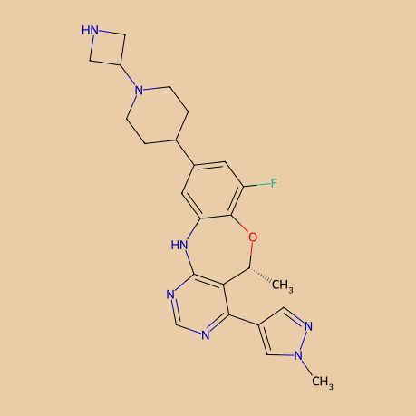 C[C@H]1Oc2c(F)cc(C3CCN(C4CNC4)CC3)cc2Nc2ncnc(-c3cnn(C)c3)c21